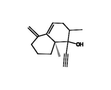 C#CC1(O)C(C)CC=C2C(=C)CCC[C@@]21C